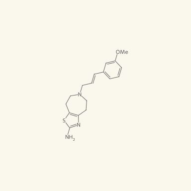 COc1cccc(C=CCN2CCc3nc(N)sc3CC2)c1